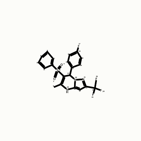 CC1=C(S(=O)(=O)c2ccccc2)C(c2ccc(F)cc2)n2nc(C(F)(F)F)cc2N1